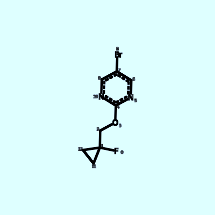 FC1(COc2ncc(Br)cn2)CC1